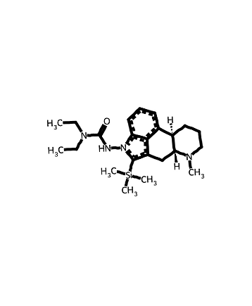 CCN(CC)C(=O)Nn1c([Si](C)(C)C)c2c3c(cccc31)[C@H]1CCCN(C)[C@@H]1C2